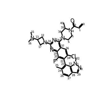 C=CC(=O)N1CCN(c2nc(N3CC(N(C)C)C3)nc3c(F)c(-c4c(C)ccc5cnn(C)c45)c(Cl)cc23)CC1C